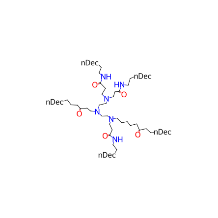 CCCCCCCCCCCCCC(=O)CCN(CCN(CCCCCC(=O)CCCCCCCCCCCC)CCC(=O)NCCCCCCCCCCCC)CCN(CCC(=O)NCCCCCCCCCCCC)CCC(=O)NCCCCCCCCCCCC